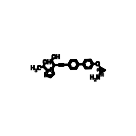 CC(O)c1nccn1C(C#Cc1ccc(-c2ccc(O[C@@H]3C[C@H]3N)cc2)cc1)CO